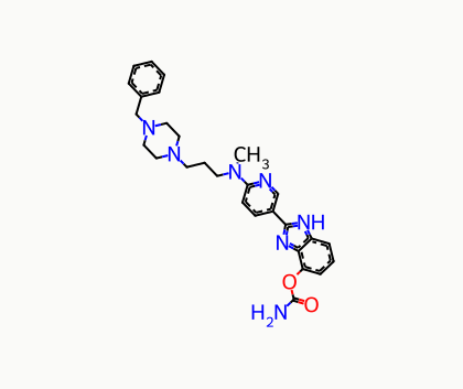 CN(CCCN1CCN(Cc2ccccc2)CC1)c1ccc(-c2nc3c(OC(N)=O)cccc3[nH]2)cn1